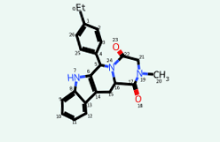 CCc1ccc(C2c3[nH]c4ccccc4c3CC3C(=O)N(C)CC(=O)N32)cc1